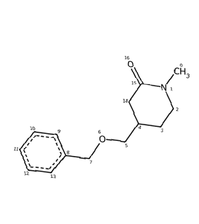 CN1CCC(COCc2ccccc2)CC1=O